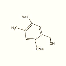 COc1cc(CO)c(OC)cc1C